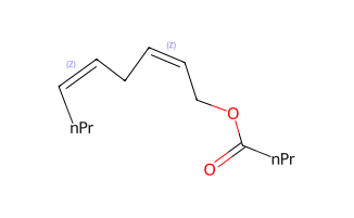 CCC/C=C\C/C=C\COC(=O)CCC